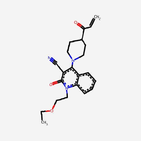 C=CC(=O)C1CCN(c2c(C#N)c(=O)n(CCOCC)c3ccccc23)CC1